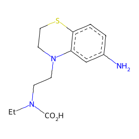 CCN(CCN1CCSc2ccc(N)cc21)C(=O)O